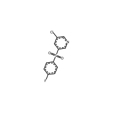 O=S(=O)(c1ccc(F)cc1)c1cncc(Cl)c1